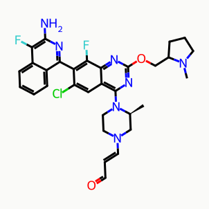 C[C@H]1CN(C=CC=O)CCN1c1nc(OCC2CCCN2C)nc2c(F)c(-c3nc(N)c(F)c4ccccc34)c(Cl)cc12